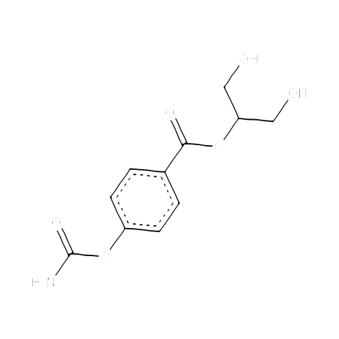 NC(=O)Oc1ccc(C(=O)OC(CO)CO)cc1